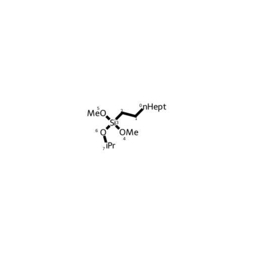 CCCCCCCCC[Si](OC)(OC)OC(C)C